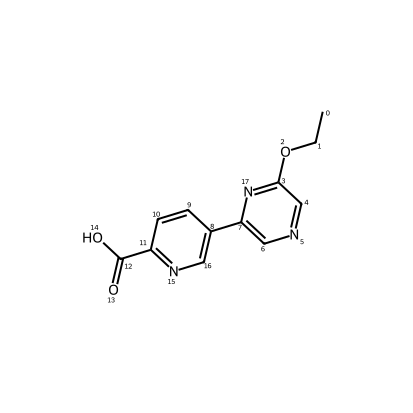 CCOc1cncc(-c2ccc(C(=O)O)nc2)n1